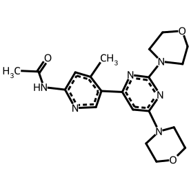 CC(=O)Nc1cc(C)c(-c2cc(N3CCOCC3)nc(N3CCOCC3)n2)cn1